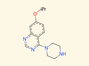 CC(C)Oc1ccc2c(N3CCNCC3)ncnc2c1